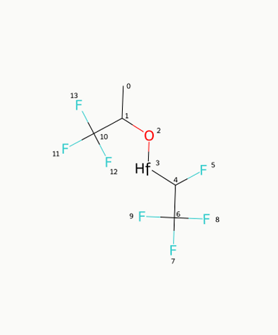 CC([O][Hf][CH](F)C(F)(F)F)C(F)(F)F